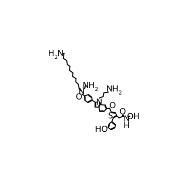 NCCCCCCCCCCCCN(CN)C(=O)c1ccc(-c2cc3ccc(C(=O)c4cc(CC(=O)NO)c(-c5cccc(O)c5)s4)cc3n2CCCCN)cc1